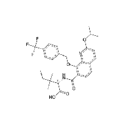 CCC(C)(C)[C@H](NC(=O)c1ccc2ccc(OC(C)C)nc2c1OCc1ccc(C(F)(F)F)cc1)C(=O)O